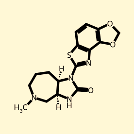 CN1CCC[C@@H]2[C@H](C1)NC(=O)N2c1nc2c3c(ccc2s1)OCO3